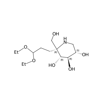 CCOC(CC[C@]1(CO)NC[C@H](O)[C@@H](O)[C@@H]1O)OCC